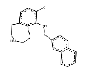 Clc1ccc2c(c1NCc1ccc3ccccc3c1)CCNCC2